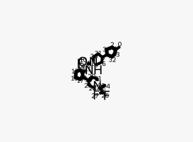 Cc1ccc(C2CCN(C(=O)Nc3c(F)cccc3C3=CCN(C(C)C(F)F)CC3)CC2)cc1